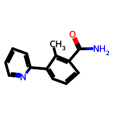 Cc1c(C(N)=O)cccc1-c1ccccn1